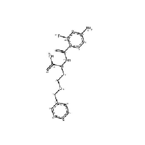 Bc1ccc(C(=C)NC(CCOCc2ccccc2)C(=C)O)c(F)c1